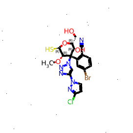 CO[C@H]1[C@@H](S)O[C@H](CO)[C@H](O)C1(c1cc(Br)ccc1C#N)n1cc(-n2ccc(Cl)n2)nn1